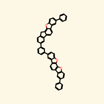 c1ccc(-c2ccc3oc4c5c(ccc4c3c2)-c2cc(-c3cccc(-c4ccc6oc7c(ccc8c9cc(-c%10ccccc%10)ccc9oc87)c6c4)c3)ccc2C5)cc1